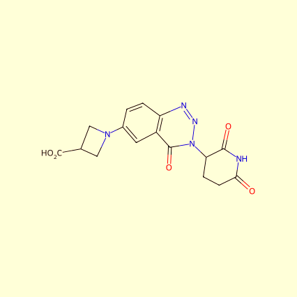 O=C1CCC(n2nnc3ccc(N4CC(C(=O)O)C4)cc3c2=O)C(=O)N1